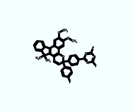 COc1cc2c3c(c4c(c2cc1OC)-c1ccccc1C4(C)C)C=CC(c1ccc(F)cc1)(c1ccc(-c2nc(F)nc(F)n2)cc1)O3